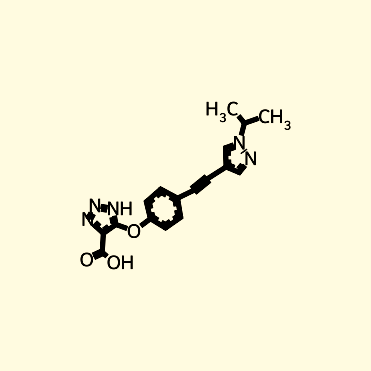 CC(C)n1cc(C#Cc2ccc(Oc3[nH]nnc3C(=O)O)cc2)cn1